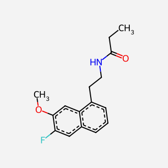 CCC(=O)NCCc1cccc2cc(F)c(OC)cc12